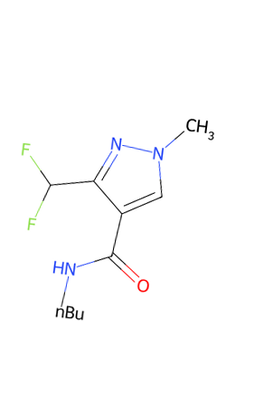 CCCCNC(=O)c1cn(C)nc1C(F)F